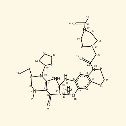 CCC1CN(C)C2=C(N[C@@](N)(Nc3cc4c(cc3OC)CCCN4C(=O)CN3CCN(C(C)=O)CC3)NC2=O)N1C1CCCC1